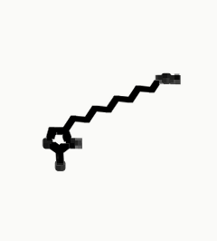 CCCCCCCCCCCCCCCCc1coc(=O)[nH]1